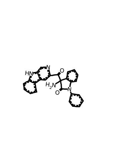 NC1(C(=O)c2cc3c(cn2)[nH]c2ccccc23)C(=O)N(c2ccccc2)c2ccccc21